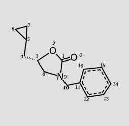 O=C1O[C@@H](CC2CC2)CN1Cc1ccccc1